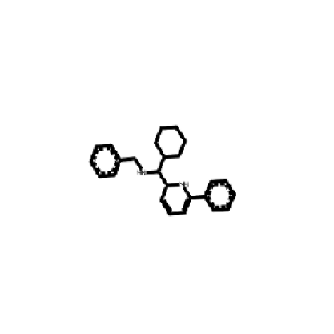 C1=CC(C(NCc2ccccc2)C2CCCCC2)NC(c2ccccc2)=C1